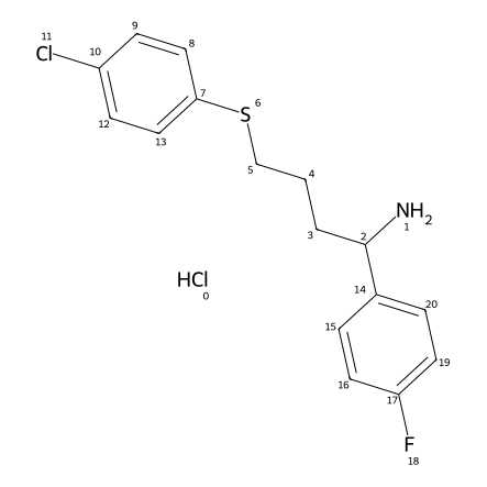 Cl.NC(CCCSc1ccc(Cl)cc1)c1ccc(F)cc1